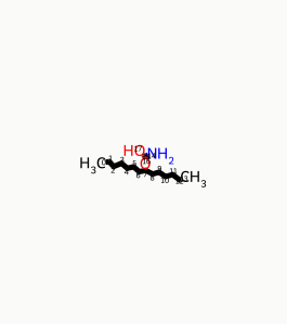 CCCCCCCCCCCCCC.NC(=O)O